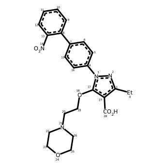 CCc1nn(-c2ccc(-c3ccccc3[N+](=O)[O-])cc2)c(OCCN2CCOCC2)c1C(=O)O